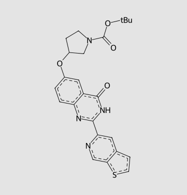 CC(C)(C)OC(=O)N1CCC(Oc2ccc3nc(-c4cc5ccsc5cn4)[nH]c(=O)c3c2)C1